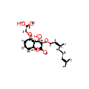 CC(C)=CCCC(C)=CCOc1c(O)c2c(OCC(=O)O)cccc2oc1=O